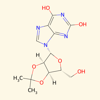 CC1(C)O[C@@H]2[C@H](O1)[C@@H](CO)O[C@H]2n1cnc2c(O)nc(O)nc21